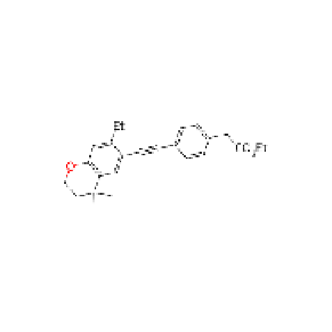 CCOC(=O)Cc1ccc(C#Cc2cc3c(cc2CC)OCCC3(C)C)cc1